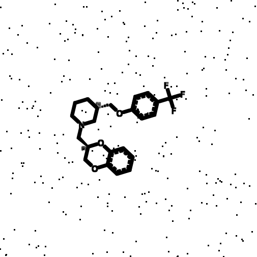 FC(F)(F)c1ccc(OC[C@H]2CCCN(C[C@@H]3COc4ccccc4O3)C2)cc1